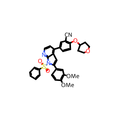 COc1ccc(-c2cc3c(-c4ccc(OC5CCOCC5)c(C#N)c4)ccnc3n2S(=O)(=O)c2ccccc2)cc1OC